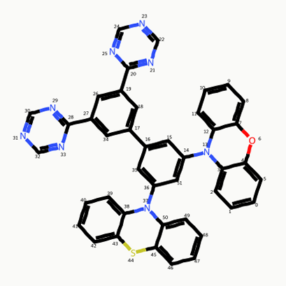 c1ccc2c(c1)Oc1ccccc1N2c1cc(-c2cc(-c3ncncn3)cc(-c3ncncn3)c2)cc(N2c3ccccc3Sc3ccccc32)c1